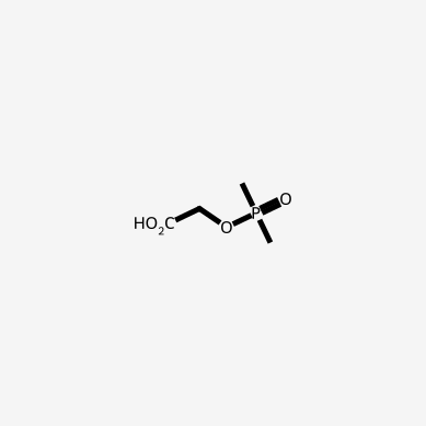 CP(C)(=O)OCC(=O)O